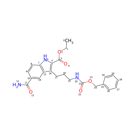 CCOC(=O)c1[nH]c2ccc(C(N)=O)cc2c1CCCNC(=O)OCc1ccccc1